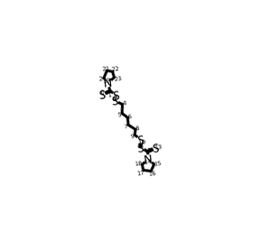 S=C(SSCCCCCCSSC(=S)N1CCCC1)N1CCCC1